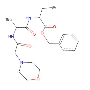 CC(C)CC(NC(=O)C(NC(=O)CN1CCOCC1)C(C)(C)C)C(=O)OCc1ccccc1